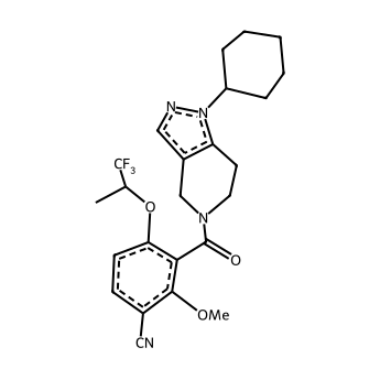 COc1c(C#N)ccc(OC(C)C(F)(F)F)c1C(=O)N1CCc2c(cnn2C2CCCCC2)C1